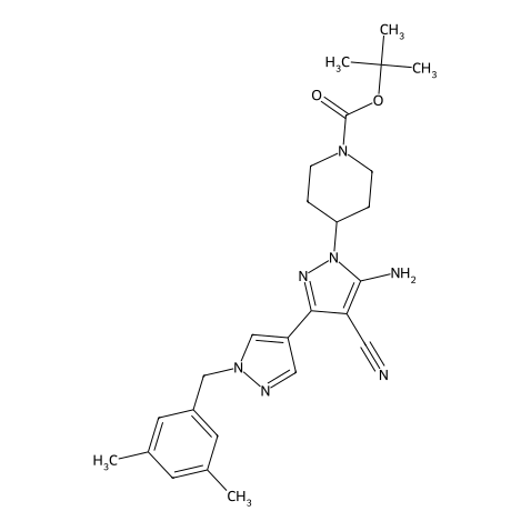 Cc1cc(C)cc(Cn2cc(-c3nn(C4CCN(C(=O)OC(C)(C)C)CC4)c(N)c3C#N)cn2)c1